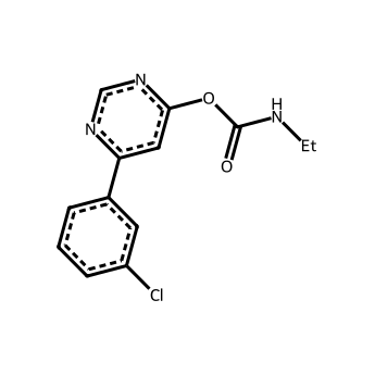 CCNC(=O)Oc1cc(-c2cccc(Cl)c2)ncn1